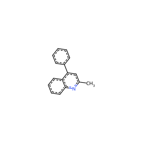 Cc1cc(-c2ccccc2)c2ccccc2n1